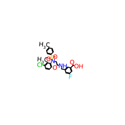 Cc1ccc(S(=O)(=O)N(CC(=O)NCc2cc(F)cc(C(=O)O)c2)c2cccc(Cl)c2C)cc1